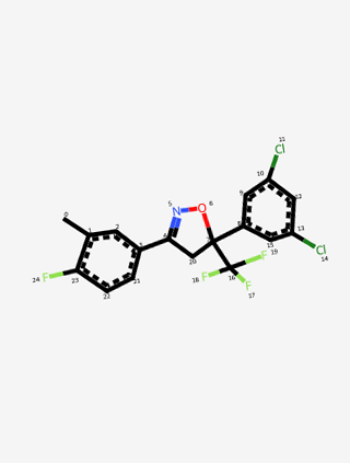 Cc1cc(C2=NOC(c3cc(Cl)cc(Cl)c3)(C(F)(F)F)C2)ccc1F